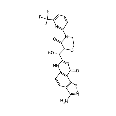 Nc1nsc2c1ccc1[nH]c([C@H](O)C3OCCN(c4cccc(C(F)(F)F)n4)C3=O)nc(=O)c12